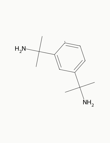 CC(C)(N)c1[c]ccc(C(C)(C)N)c1